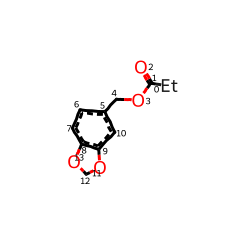 CCC(=O)OCc1ccc2c(c1)OCO2